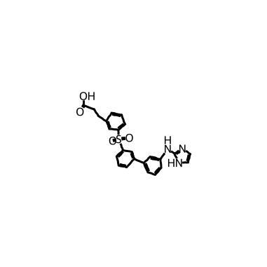 O=C(O)CCc1cccc(S(=O)(=O)c2cccc(-c3cccc(Nc4ncc[nH]4)c3)c2)c1